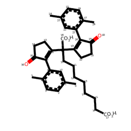 Cc1ccc(C)c(C2=C(C(CCCCCCCC(=O)O)(C(=O)O)C3=C(c4cc(C)ccc4C)C(=O)CC3)CCC2=O)c1